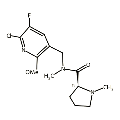 COc1nc(Cl)c(F)cc1CN(C)C(=O)[C@@H]1CCCN1C